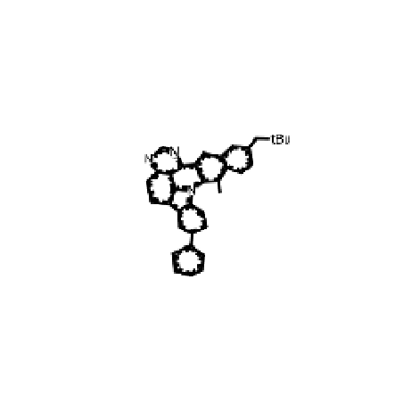 Cc1c2ccc(CC(C)(C)C)cc2cc2c3ncnc4ccc5c6cc(-c7ccccc7)ccc6n(c12)c5c43